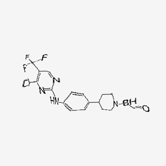 O=CBN1CCC(c2ccc(Nc3ncc(C(F)(F)F)c(Cl)n3)cc2)CC1